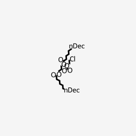 CCCCCCCCCCCCCCCC(=O)OCC(COC(=O)CCCCCCCCCCCCCCC)OC(=O)OCCCl